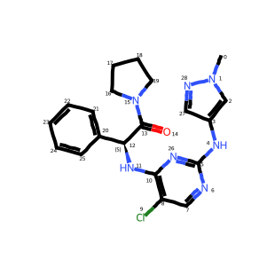 Cn1cc(Nc2ncc(Cl)c(N[C@H](C(=O)N3CCCC3)c3ccccc3)n2)cn1